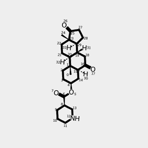 C[C@]12CC[C@H](OC(=O)[C@@H]3CCCNC3)C[C@@H]1C(=O)C[C@@H]1[C@@H]2CC[C@]2(C)C(=O)CC[C@@H]12